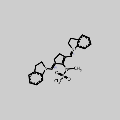 CN(C1=C(/C=[N+]2\CCc3ccccc32)CC/C1=C\N1CCc2ccccc21)S(=O)(=O)C(Cl)(Cl)Cl